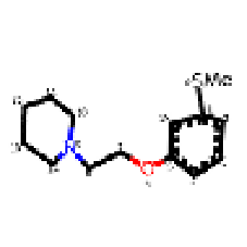 CSc1cccc(OCCN2CCCCC2)c1